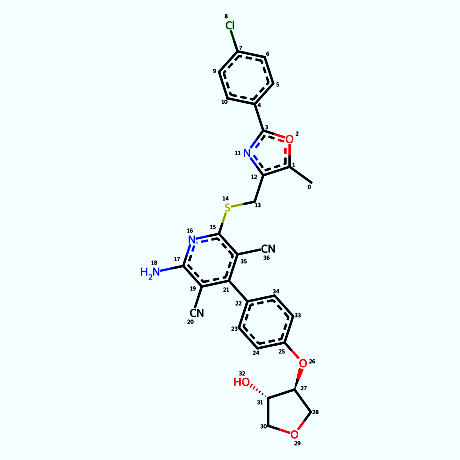 Cc1oc(-c2ccc(Cl)cc2)nc1CSc1nc(N)c(C#N)c(-c2ccc(O[C@H]3COC[C@@H]3O)cc2)c1C#N